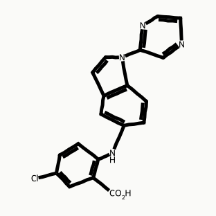 O=C(O)c1cc(Cl)ccc1Nc1ccc2c(ccn2-c2cnccn2)c1